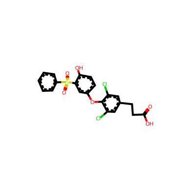 O=C(O)CCc1cc(Cl)c(Oc2ccc(O)c(S(=O)(=O)c3ccccc3)c2)c(Cl)c1